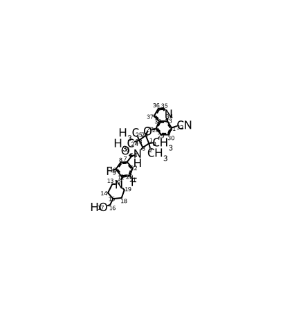 CC1(C)C(NC(=O)c2cc(F)c(N3CCC(CO)CC3)c(F)c2)C(C)(C)C1Oc1ccc(C#N)c2ncccc12